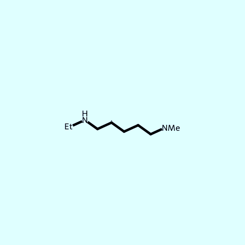 CCNC[CH]CCCNC